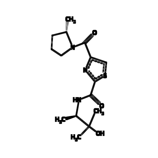 C[C@H]1CCCN1C(=O)c1csc(C(=O)N[C@H](C)C(C)(C)O)n1